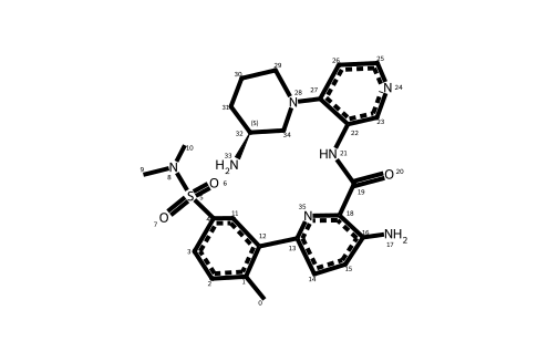 Cc1ccc(S(=O)(=O)N(C)C)cc1-c1ccc(N)c(C(=O)Nc2cnccc2N2CCC[C@H](N)C2)n1